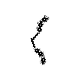 CC(CCCCCCOc1ccc(-c2cc(F)c(C(F)(F)Oc3cc(F)c(C(F)(F)F)c(F)c3)c(F)c2)c(F)c1)CCCCCCOc1ccc(-c2cc(F)c(C(F)(F)Oc3cc(F)c(C(F)(F)F)c(F)c3)c(F)c2)c(F)c1